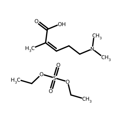 CC(=CCCN(C)C)C(=O)O.CCOS(=O)(=O)OCC